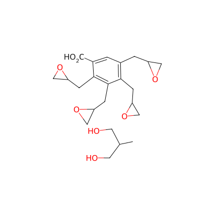 CC(CO)CO.O=C(O)c1cc(CC2CO2)c(CC2CO2)c(CC2CO2)c1CC1CO1